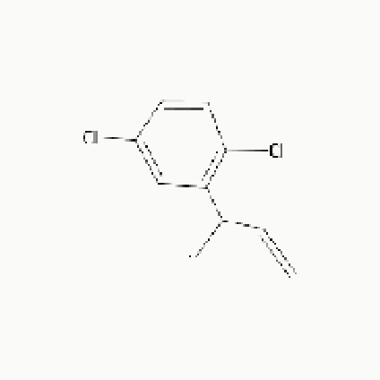 [CH2]C(C=C)c1cc(Cl)ccc1Cl